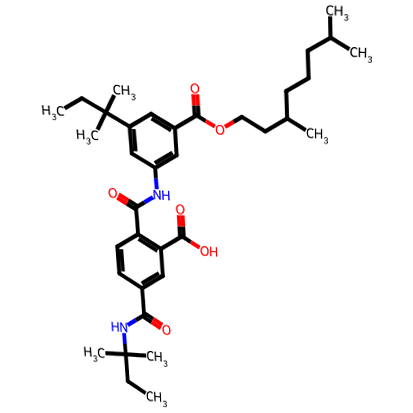 CCC(C)(C)NC(=O)c1ccc(C(=O)Nc2cc(C(=O)OCCC(C)CCCC(C)C)cc(C(C)(C)CC)c2)c(C(=O)O)c1